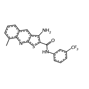 Cc1cccc2cc3c(N)c(C(=O)Nc4cccc(C(F)(F)F)c4)sc3nc12